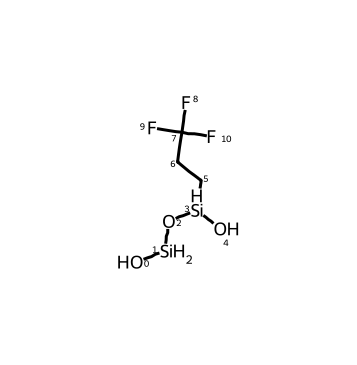 O[SiH2]O[SiH](O)CCC(F)(F)F